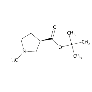 CC(C)(C)OC(=O)[C@@H]1CCN(O)C1